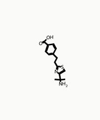 CC(C)(N)c1csc(CCc2ccc(C(=O)O)cc2)n1